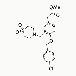 COC(=O)Cc1ccc(OCc2ccc(Cl)cc2)c(CN2CCS(=O)(=O)CC2)c1